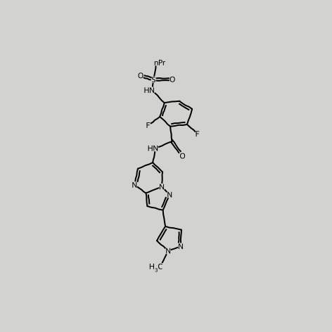 CCCS(=O)(=O)Nc1ccc(F)c(C(=O)Nc2cnc3cc(-c4cnn(C)c4)nn3c2)c1F